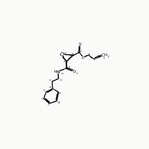 C=CCOC(=O)C1OC1C(=O)NCCc1ccccc1